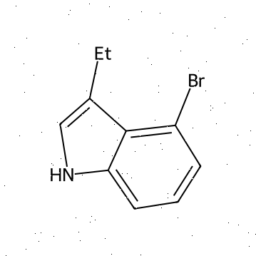 CCc1c[nH]c2cccc(Br)c12